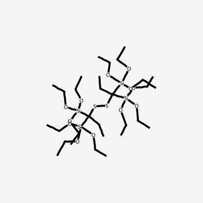 CCO[Si](OCC)(OCC)C(CC)(SSC(CC)([Si](OCC)(OCC)OCC)[Si](OCC)(OCC)OCC)[Si](OCC)(OCC)OCC